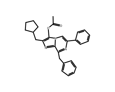 CC(=O)Oc1c(CC2CCCC2)nc2c(Cc3ccccc3)nc(-c3ccccc3)cn12